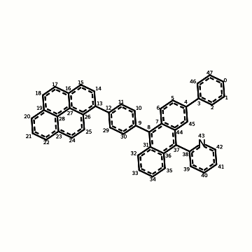 c1ccc(-c2ccc3c(-c4ccc(-c5ccc6ccc7cccc8ccc5c6c78)cc4)c4ccccc4c(-c4ccccn4)c3c2)cc1